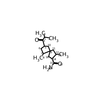 CC(C)C(=O)C1CC(C)C2(C1)CC(C)C(C(N)=O)C2